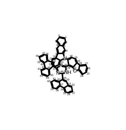 c1ccc2cc3c(cc2c1)c1ccccc1n3-c1ccc2c(oc3ccccc32)c1C1=NC(c2cc3ccccc3c3ccccc23)=NC(c2cc3ccccc3c3ccccc23)N1